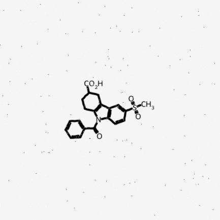 CS(=O)(=O)c1ccc2c(c1)c1c(n2C(=O)c2ccccc2)CCC(C(=O)O)C1